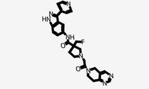 O=C(CN1CCC(CF)(C(=O)Nc2ccc3[nH]nc(-c4ccncc4)c3c2)C1)N1CCc2ncncc2C1